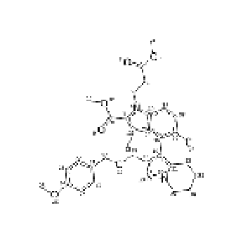 COC(=O)CCn1c(C(=O)OC)c(C)c2c(-c3c(COCc4ccc(OC)cc4)nn4c3CCCC4)c(Cl)ccc21